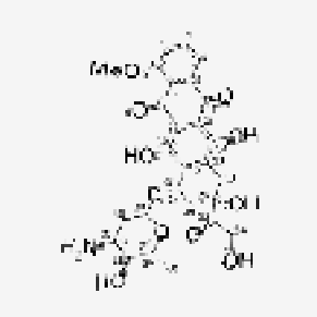 COc1cccc2c1C(=O)c1c(O)c3c(c(O)c1C2=O)C[C@@](O)(C(=O)CO)C[C@@H]3OC1C[C@H](N)[C@H](O)[C@@H](C)O1